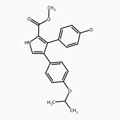 COC(=O)c1[nH]cc(-c2ccc(OC(C)C)cc2)c1-c1ccc([O])cc1